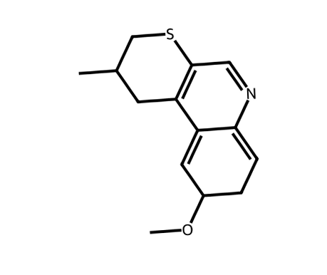 COC1C=c2c3c(cnc2=CC1)SCC(C)C3